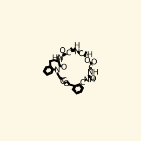 C[C@@H]1CNC(C)(C)CC(=O)N[C@@H]2CCc3ccccc3N(Cc3ccc(cc3)-c3ccccc3CNC(=O)NCC(=O)O1)C2=O